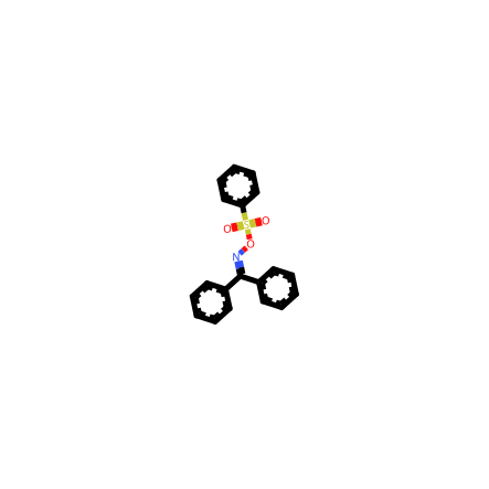 O=S(=O)(ON=C(c1ccccc1)c1ccccc1)c1ccccc1